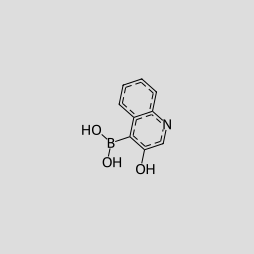 OB(O)c1c(O)cnc2ccccc12